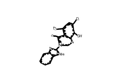 O=c1c2c(Cl)cc(Cl)c(O)c2ncn1-c1nc2ccccc2[nH]1